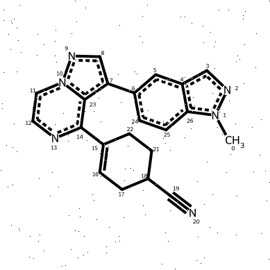 Cn1ncc2cc(-c3cnn4ccnc(C5=CCC(C#N)CC5)c34)ccc21